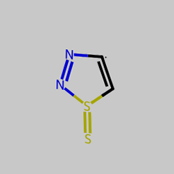 S=S1C=[C]N=N1